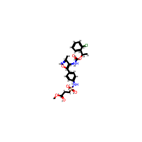 COC(=O)CCS(=O)(=O)Nc1ccc(-c2onc(C)c2NC(=O)OC(C)c2ccccc2Cl)cc1